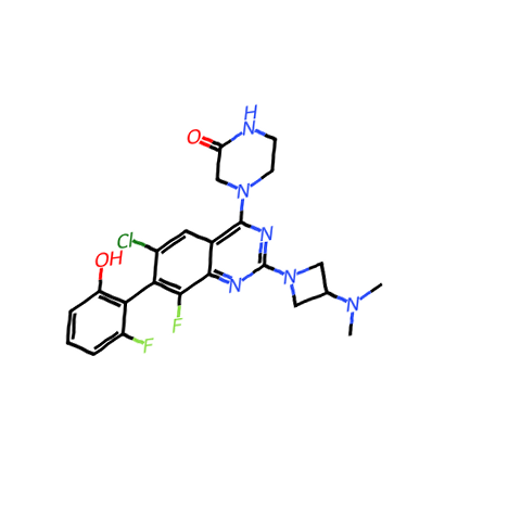 CN(C)C1CN(c2nc(N3CCNC(=O)C3)c3cc(Cl)c(-c4c(O)cccc4F)c(F)c3n2)C1